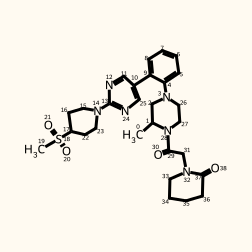 CC1CN(c2ccccc2-c2cnc(N3CCC(S(C)(=O)=O)CC3)nc2)CCN1C(=O)CN1CCCCC1=O